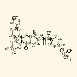 O=C(Nc1cc(F)c(F)cc1N1CCN(CCC(F)(F)F)CC1)c1ccc(CNC(=O)N2CCC(COC(=O)C(F)(F)F)CC2)c(F)c1F